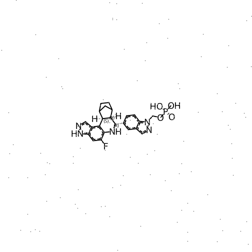 O=P(O)(O)OCn1ncc2cc([C@@H]3Nc4c(F)cc5[nH]ncc5c4[C@H]4C5CCC(C5)[C@@H]34)ccc21